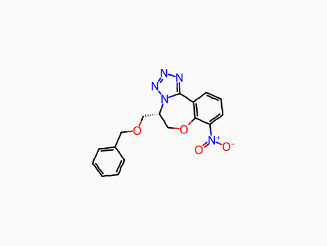 O=[N+]([O-])c1cccc2c1OC[C@H](COCc1ccccc1)n1nnnc1-2